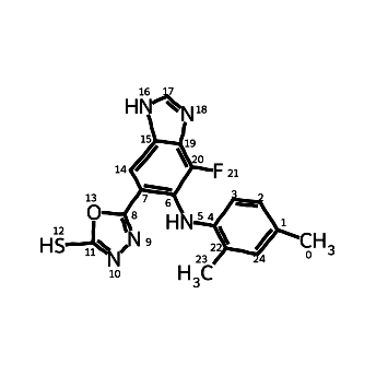 Cc1ccc(Nc2c(-c3nnc(S)o3)cc3[nH]cnc3c2F)c(C)c1